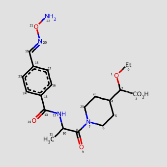 CCOC(C(=O)O)C1CCN(C(=O)C(C)NC(=O)c2ccc(C=NON)cc2)CC1